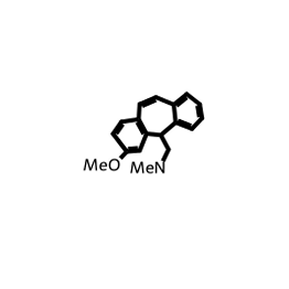 CNCC1c2ccccc2C=Cc2ccc(OC)cc21